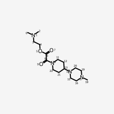 CN(C)CCOC(=O)C(=O)N1CCC(N2CCN(C)CC2)CC1